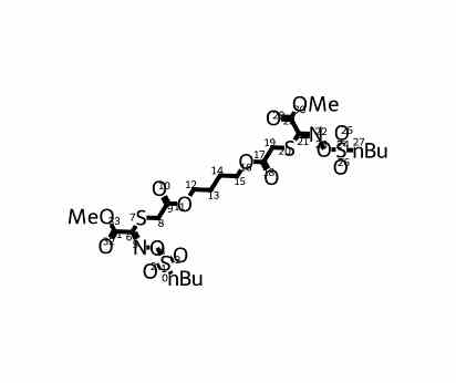 CCCCS(=O)(=O)O/N=C(\SCC(=O)OCCCCOC(=O)CS/C(=N\OS(=O)(=O)CCCC)C(=O)OC)C(=O)OC